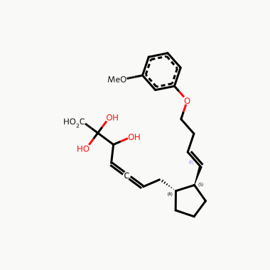 COc1cccc(OCC/C=C/[C@H]2CCC[C@@H]2CC=C=CC(O)C(O)(O)C(=O)O)c1